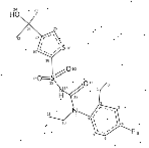 CCc1cc(F)ccc1N(CC)C(=O)NS(=O)(=O)c1cc(C(C)(C)O)cs1